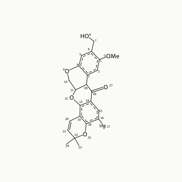 COc1cc2c(cc1CO)OCC1Oc3c(cc([18F])c4c3C=CC(C)(C)O4)C(=O)C21